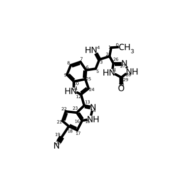 CCC(C(=N)Cc1cccc2[nH]c(-c3n[nH]c4cc(C#N)ccc34)cc12)c1n[nH]c(=O)[nH]1